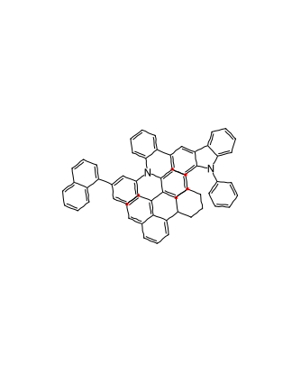 c1ccc(-n2c3ccccc3c3cc(-c4ccccc4N(c4cccc(-c5cccc6ccccc56)c4)c4ccccc4-c4cccc5cccc(C6CCCCC6)c45)ccc32)cc1